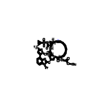 CC(C)n1c(O[C@@H]2C[C@H]3C(=O)N[C@]4(C(=O)NS(=O)(=O)C5CC5)C[C@H]4/C=C\CCCCC[C@H](NC(=O)OC(C)(C)C)C(=O)N3C2)nc2c(-c3cc(C(F)(F)F)nn3C)cccc21